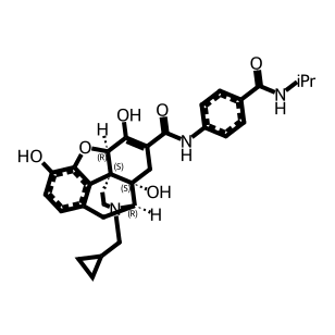 CC(C)NC(=O)c1ccc(NC(=O)C2=C(O)[C@@H]3Oc4c(O)ccc5c4[C@@]34CCN(CC3CC3)[C@H](C5)[C@]4(O)C2)cc1